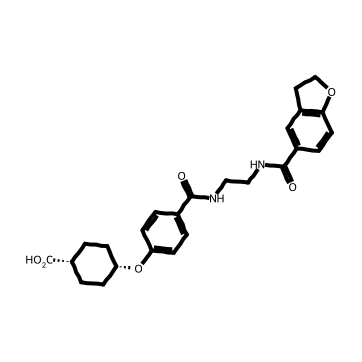 O=C(NCCNC(=O)c1ccc2c(c1)CCO2)c1ccc(O[C@H]2CC[C@@H](C(=O)O)CC2)cc1